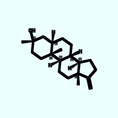 C=C1CC[C@@H]2[C@H]3CC[C@@H]4C[C@@](C)(O)CC[C@@]4(C)[C@@H]3CC[C@@]12C